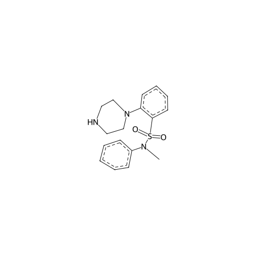 CN(c1ccccc1)S(=O)(=O)c1ccccc1N1CCNCC1